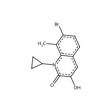 Cc1c(Br)ccc2cc(O)c(=O)n(C3CC3)c12